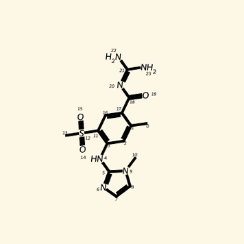 Cc1cc(Nc2nccn2C)c(S(C)(=O)=O)cc1C(=O)N=C(N)N